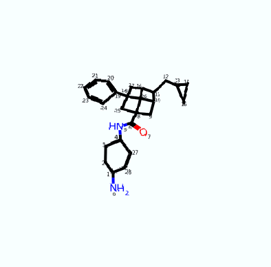 NC1CCC(NC(=O)C23CC4C(CC5CC5)C5CC(c6ccccc6)(C2)C453)CC1